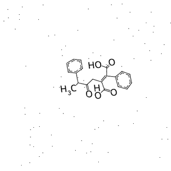 CC(C(=O)C/C(C(=O)O)=C(\C(=O)O)c1ccccc1)c1ccccc1